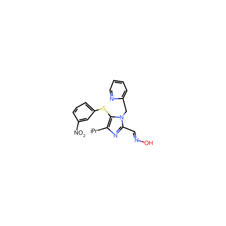 CC(C)c1nc(/C=N/O)n(Cc2ccccn2)c1Sc1cccc([N+](=O)[O-])c1